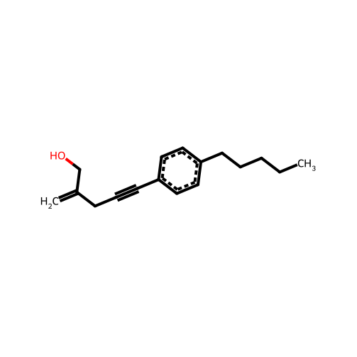 C=C(CO)CC#Cc1ccc(CCCCC)cc1